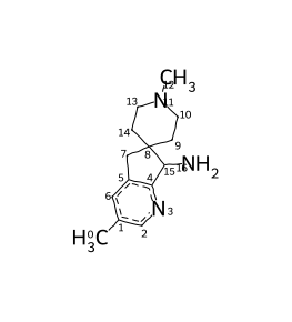 Cc1cnc2c(c1)CC1(CCN(C)CC1)C2N